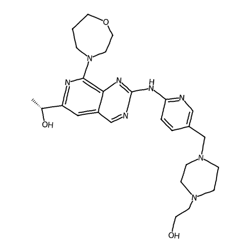 C[C@@H](O)c1cc2cnc(Nc3ccc(CN4CCN(CCO)CC4)cn3)nc2c(N2CCCOCC2)n1